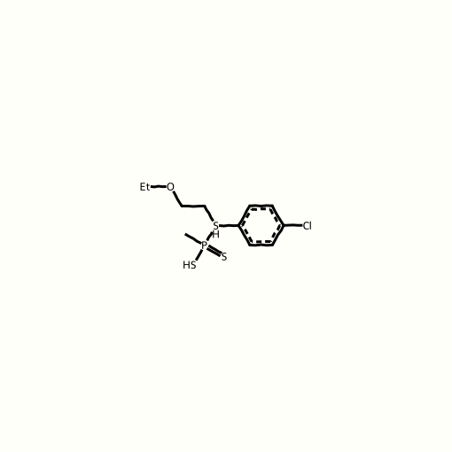 CCOCC[SH](c1ccc(Cl)cc1)P(C)(=S)S